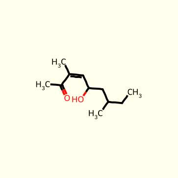 CCC(C)CC(O)C=C(C)C(C)=O